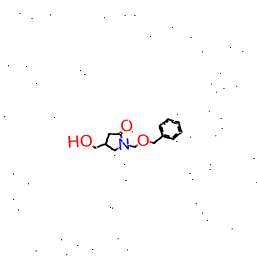 O=C1CC(CO)CN1COCc1ccccc1